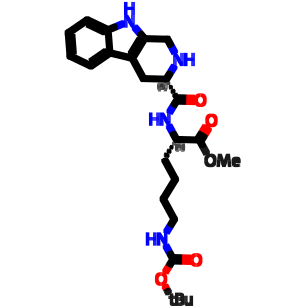 COC(=O)[C@H](CCCCNC(=O)OC(C)(C)C)NC(=O)[C@@H]1Cc2c([nH]c3ccccc23)CN1